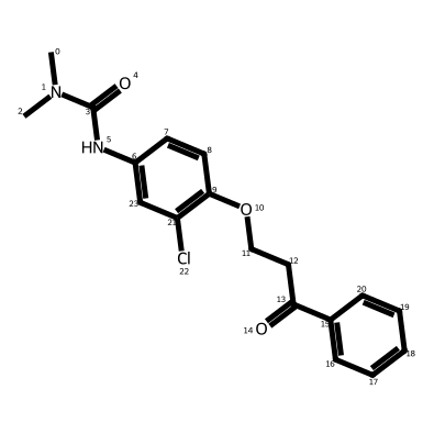 CN(C)C(=O)Nc1ccc(OCCC(=O)c2ccccc2)c(Cl)c1